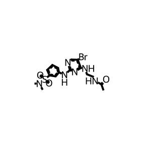 CC(=O)NCCNc1nc(Nc2cccc(S(=O)(=O)N(C)C)c2)ncc1Br